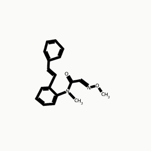 CO/N=C/C(=O)N(C)c1ccccc1C=Cc1ccccc1